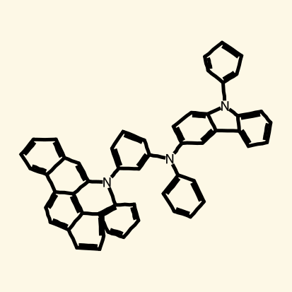 c1ccc(N(c2cccc(N(c3ccccc3)c3cc4ccccc4c4ccc5ccccc5c34)c2)c2ccc3c(c2)c2ccccc2n3-c2ccccc2)cc1